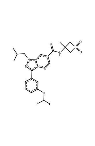 CC(C)Cn1nc(-c2cccc(OC(F)F)c2)c2ncc(C(=O)NC3(C)CS(=O)(=O)C3)cc21